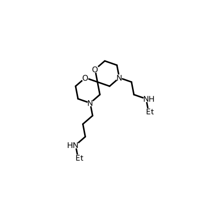 CCNCCCN1CCOC2(C1)CN(CCNCC)CCO2